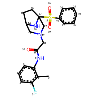 Cc1c(F)cccc1NC(=O)CN1CC2CCC(S(=O)(=O)c3ccccc3)(C1)N2